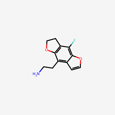 NCCc1c2c(c(F)c3occc13)CCO2